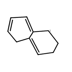 [C]1CCC=C2CC=CC=C12